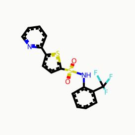 O=S(=O)(Nc1ccccc1C(F)(F)F)c1ccc(-c2ccccn2)s1